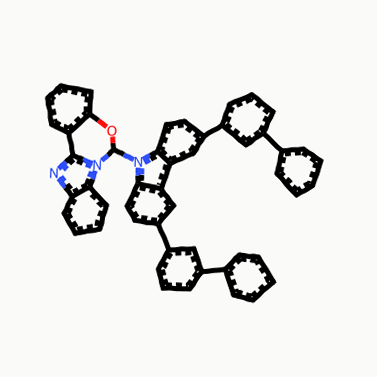 c1ccc(-c2cccc(-c3ccc4c(c3)c3cc(-c5cccc(-c6ccccc6)c5)ccc3n4C3Oc4ccccc4-c4nc5ccccc5n43)c2)cc1